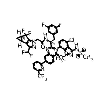 Cn1nc(NS(C)(=O)=O)c2c(Cl)ccc(-n3c([C@H](Cc4cc(F)cc(F)c4)NC(=O)Cn4nc(C(F)F)c5c4C(F)(F)[C@@H]4C[C@H]54)nc4cc(-c5cccc(C(F)(F)F)n5)ccc4c3=O)c21